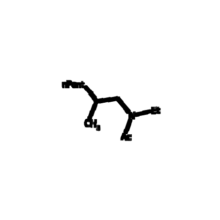 CCCCCC(C)CN(CC)C(C)=O